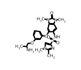 Cc1nc(S(=O)(=O)Nc2cc3c(cc2Oc2cccc(OCC(C)N)c2)n(C)c(=O)n3C)cn1C